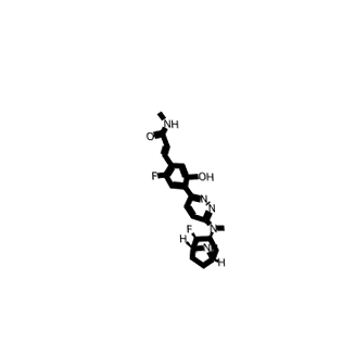 CNC(=O)/C=C/c1cc(O)c(-c2ccc(N(C)[C@H]3C[C@@H]4CC[C@@H](N4)[C@H]3F)nn2)cc1F